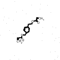 C=CC(=O)OCCc1ccc(COC(=O)C=C)cc1